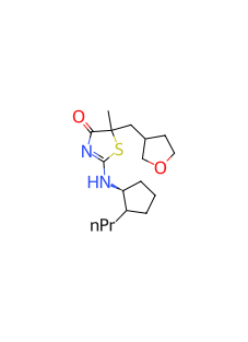 CCCC1CCC[C@@H]1NC1=NC(=O)C(C)(CC2CCOC2)S1